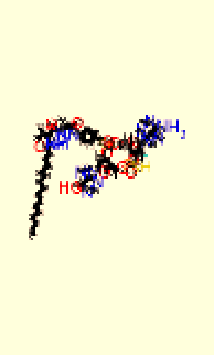 CCCCCCCCCCCCCCCC(=O)N[C@H](C(=O)N[C@@H](C)C(=O)Nc1ccc(CSP2(=O)OC[C@H]3O[C@@H](n4cnc5c(N)ncnc54)[C@H](F)[C@@H]3OP(=O)(S)OC[C@H]3O[C@@H](n4cnc5c(O)ncnc54)C[C@@H]3O2)cc1)C(C)C